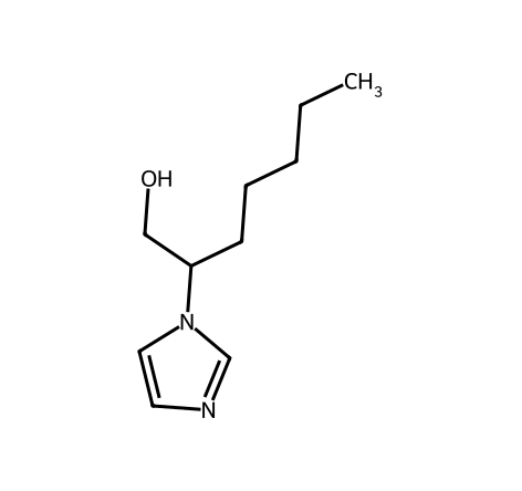 CCCCCC(CO)n1ccnc1